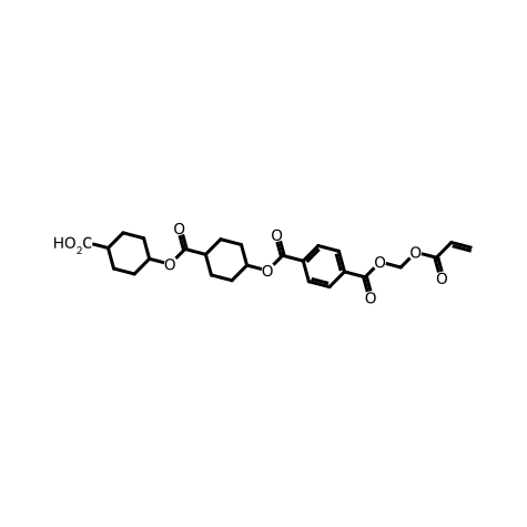 C=CC(=O)OCOC(=O)c1ccc(C(=O)OC2CCC(C(=O)OC3CCC(C(=O)O)CC3)CC2)cc1